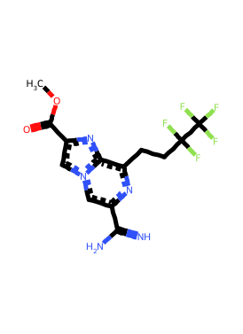 COC(=O)c1cn2cc(C(=N)N)nc(CCC(F)(F)C(F)(F)F)c2n1